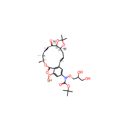 C[C@@H]1/C=C\C(=O)[C@H]2OC(C)(C)O[C@H]2C/C=C/c2cc(N(OCC(O)CO)C(=O)OC(C)(C)C)cc(OS)c2C(=O)O[C@H]1C